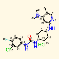 Cc1cnc(N[C@H]2CC[C@@H](NC(=O)Nc3ccc(F)c(Cl)c3)CC2)cc1N(C)C.Cl